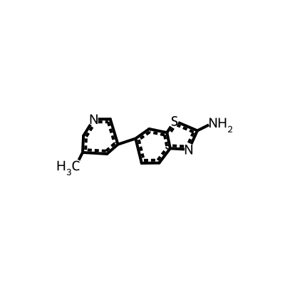 Cc1cncc(-c2ccc3nc(N)sc3c2)c1